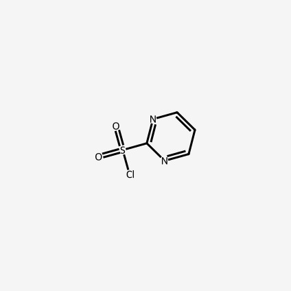 O=S(=O)(Cl)c1ncccn1